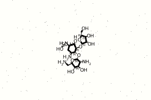 NC[C@H]1O[C@H](O[C@H]2[C@H](O[C@@H]3O[C@H](CO)[C@@H](O)[C@H]3O)[C@@H](O)[C@H](N)C[C@@H]2N)[C@H](N)[C@@H](O)[C@@H]1O.O=S(=O)(O)O